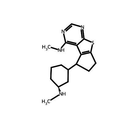 CNc1ncnc2sc3c(c12)C(C1CCC[C@H](NC)C1)CC3